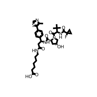 Cc1ncsc1-c1ccc(C(CC(=O)NCCCCCCC(=O)O)NC(=O)[C@@H]2C[C@@H](O)CN2C(=O)C(NC(=O)C2(F)CC2)C(C)(C)C)cc1